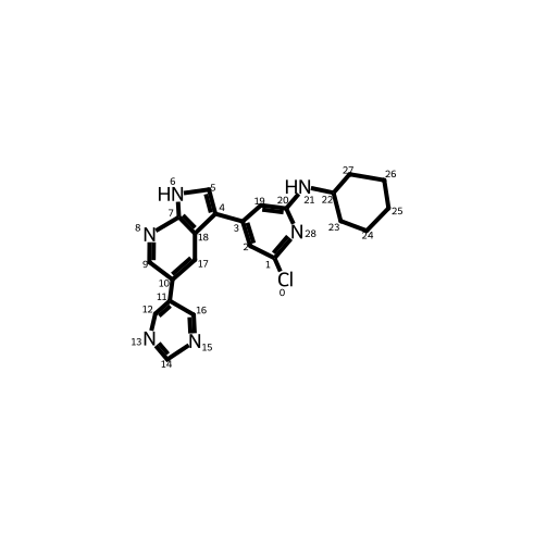 Clc1cc(-c2c[nH]c3ncc(-c4cncnc4)cc23)cc(NC2CCCCC2)n1